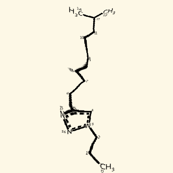 CCCn1cc(CCCCCCC(C)C)nn1